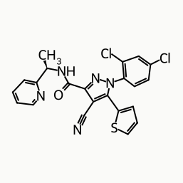 C[C@@H](NC(=O)c1nn(-c2ccc(Cl)cc2Cl)c(-c2cccs2)c1C#N)c1ccccn1